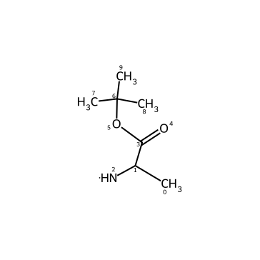 CC([NH])C(=O)OC(C)(C)C